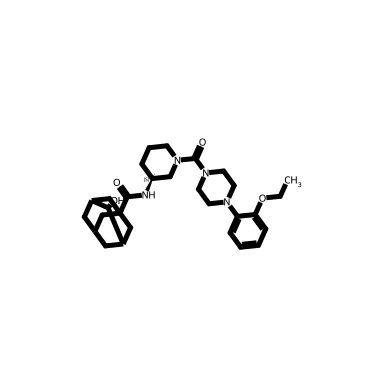 CCOc1ccccc1N1CCN(C(=O)N2CCC[C@H](NC(=O)C34CC5CC(C3)C(O)C(C5)C4)C2)CC1